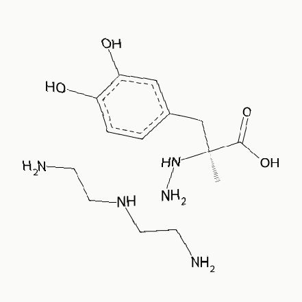 C[C@@](Cc1ccc(O)c(O)c1)(NN)C(=O)O.NCCNCCN